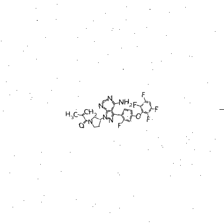 C=C(C)C(=O)N1CCC(n2nc(-c3ccc(Oc4c(F)c(F)cc(F)c4F)cc3F)c3c(N)ncnc32)C1